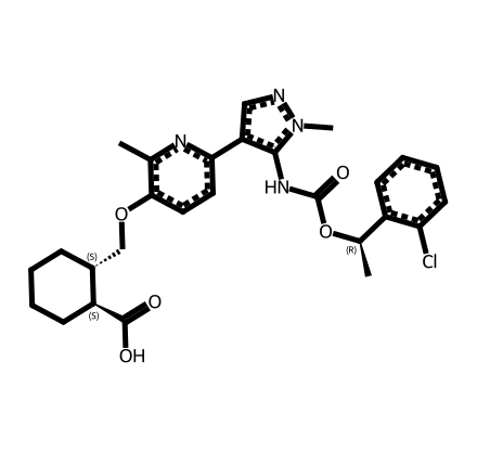 Cc1nc(-c2cnn(C)c2NC(=O)O[C@H](C)c2ccccc2Cl)ccc1OC[C@H]1CCCC[C@@H]1C(=O)O